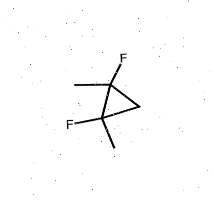 CC1(F)CC1(C)F